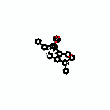 c1ccc(-c2ccc3c(c2)c2cc(-c4ccccc4)ccc2n3-c2nccc(-c3ccc(-c4cc(-c5ccccc5)nc(-c5ccccc5)c4)cc3)c2-n2c3ccc(-c4ccccc4)cc3c3cc(-c4ccccc4)ccc32)cc1